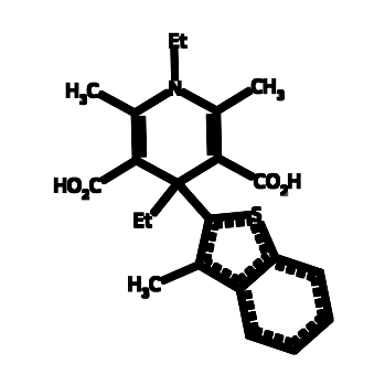 CCN1C(C)=C(C(=O)O)C(CC)(c2sc3ccccc3c2C)C(C(=O)O)=C1C